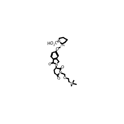 C[Si](C)(C)CCOCN1C(=O)CCC(N2Cc3cc(OC[C@H]4CCCCN4C(=O)O)ccc3C2=O)C1=O